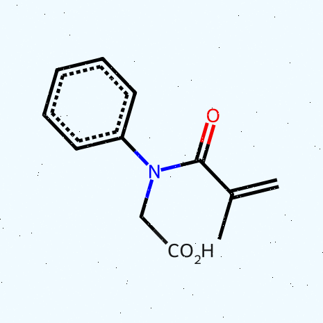 C=C(C)C(=O)N(CC(=O)O)c1ccccc1